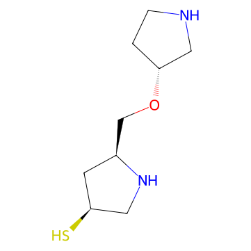 S[C@@H]1CN[C@H](CO[C@@H]2CCNC2)C1